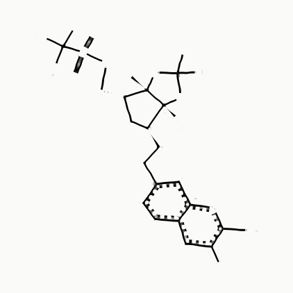 CC1(C)O[C@@H]2[C@@H](CCc3ccc4cc(Cl)c(Cl)nc4c3)C[C@H](COS(=O)(=O)C(F)(F)F)[C@@H]2O1